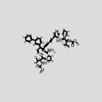 C=C/C(=C(C#CC#Cc1cnc([C@@H]2CCCN2C(=O)[C@@H](NC(=O)OC)C(C)C)[nH]1)\N=C(/N)[C@@H]1CCCN1C(=O)[C@@H](NC(=O)OC)C(C)C)c1cccc(-c2ccccc2)c1